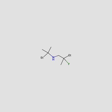 CCC(C)(F)CNC(C)(C)CC